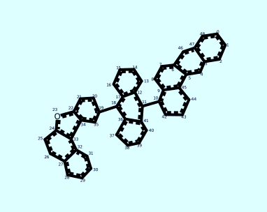 c1ccc2cc3c(ccc4c(-c5c6ccccc6c(-c6ccc7oc8ccc9ccccc9c8c7c6)c6ccccc56)cccc43)cc2c1